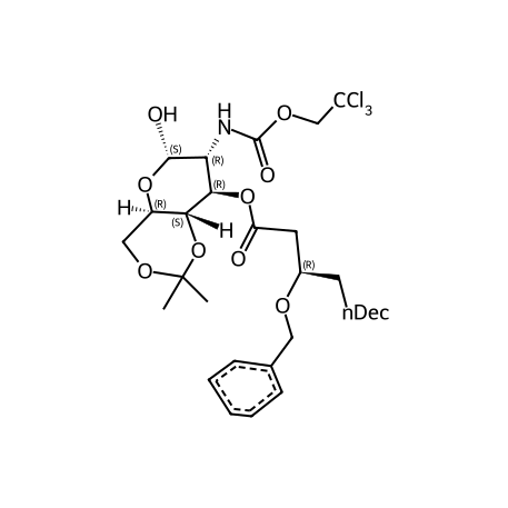 CCCCCCCCCCC[C@H](CC(=O)O[C@@H]1[C@@H](NC(=O)OCC(Cl)(Cl)Cl)[C@@H](O)O[C@@H]2COC(C)(C)O[C@@H]12)OCc1ccccc1